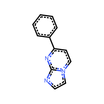 c1ccc(-c2ccn3ccnc3n2)cc1